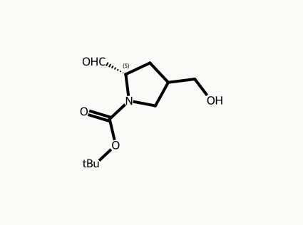 CC(C)(C)OC(=O)N1CC(CO)C[C@H]1C=O